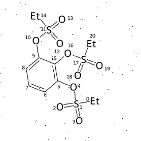 CCS(=O)(=O)Oc1cccc(OS(=O)(=O)CC)c1OS(=O)(=O)CC